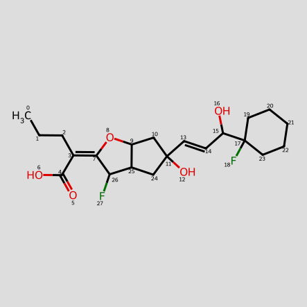 CCC/C(C(=O)O)=C1\OC2CC(O)(/C=C/C(O)C3(F)CCCCC3)CC2C1F